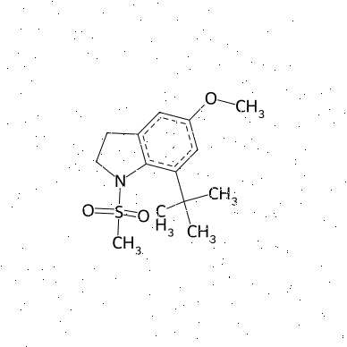 COc1cc2c(c(C(C)(C)C)c1)N(S(C)(=O)=O)CC2